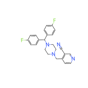 N#Cc1cnccc1CN1CCN(C(c2ccc(F)cc2)c2ccc(F)cc2)CC1